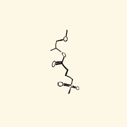 COCC(C)OC(=O)CCCS(C)(=O)=O